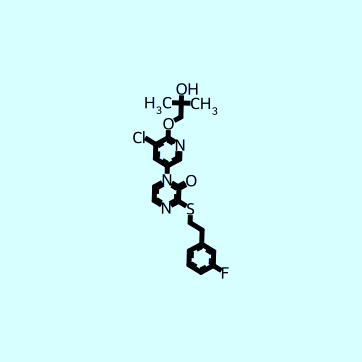 CC(C)(O)COc1ncc(-n2ccnc(SCCc3cccc(F)c3)c2=O)cc1Cl